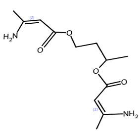 C/C(N)=C/C(=O)OCCC(C)OC(=O)/C=C(/C)N